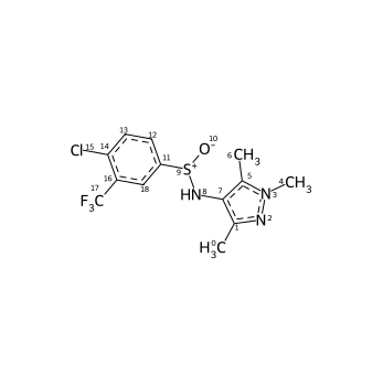 Cc1nn(C)c(C)c1N[S+]([O-])c1ccc(Cl)c(C(F)(F)F)c1